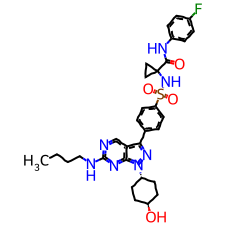 CCCCNc1ncc2c(-c3ccc(S(=O)(=O)NC4(C(=O)Nc5ccc(F)cc5)CC4)cc3)nn([C@H]3CC[C@H](O)CC3)c2n1